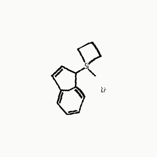 C[Si]1(C2C=Cc3ccccc32)CCC1.[Li]